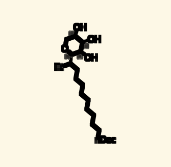 CCCCCCCCCCCCCCCCCCCC(CC)[C@@H]1OC[C@@H](O)[C@H](O)[C@H]1O